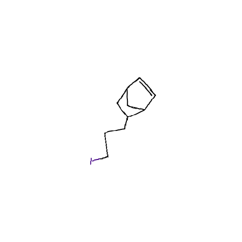 ICCCC1CC2C=CC1C2